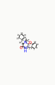 CC(=O)N1C(=O)/C(=C\c2ccccc2)NC(=O)[C@@H]1Cc1ccccc1